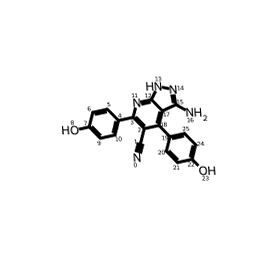 N#Cc1c(-c2ccc(O)cc2)nc2[nH]nc(N)c2c1-c1ccc(O)cc1